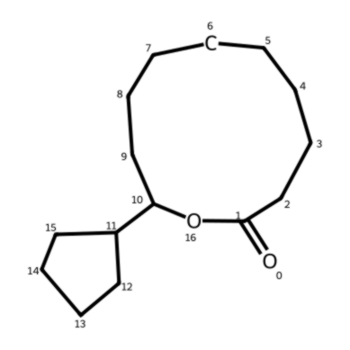 O=C1CCCCCCCCC(C2CCCC2)O1